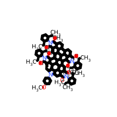 COc1ccc(-n2c3cc4c(=O)n(-c5c(C(C)C)cccc5C(C)C)c(=O)c5cc6c7c8c(=O)n(-c9c(C(C)C)cccc9C(C)C)c(=O)c9ccc%10c%11ccc%12c(=O)n(-c%13c(C(C)C)cccc%13C(C)C)c(=O)c%13cc%14c%15c%16c(=O)n(-c%17c(C(C)C)cccc%17C(C)C)c(=O)c%17cc2c2c(c%17%16)c(c6c(c54)c23)c%15c7c(c%10c98)c%14c%11c%12%13)cc1